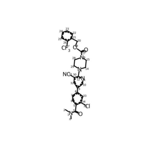 CN(C)C(=O)c1ccc(-c2cnc(N3CCN(C(=O)OCc4ccccc4C(F)(F)F)CC3)c(C#N)c2)cc1Cl